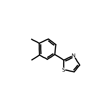 Cc1ccc(-c2nccs2)cc1C